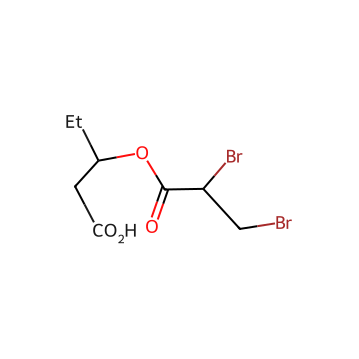 CCC(CC(=O)O)OC(=O)C(Br)CBr